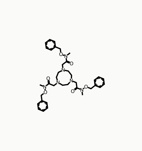 CN(OCc1ccccc1)C(=O)CN1CCN(CC(=O)N(C)OCc2ccccc2)CCN(CC(=O)N(C)OCc2ccccc2)CC1